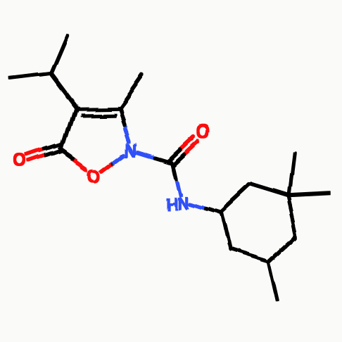 Cc1c(C(C)C)c(=O)on1C(=O)NC1CC(C)CC(C)(C)C1